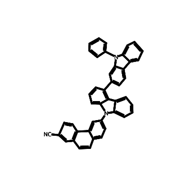 N#Cc1ccc2c(ccc3ccc(-n4c5ccccc5c5c(-c6ccc7c8ccccc8n(-c8ccccc8)c7c6)cccc54)cc32)c1